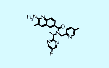 Cc1ccc(CN(C(=O)c2ccc3nc(N)c(C)cc3c2)[C@H](C)c2ncc(F)cn2)nc1